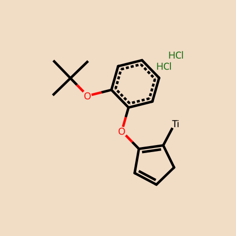 CC(C)(C)Oc1ccccc1OC1=[C]([Ti])CC=C1.Cl.Cl